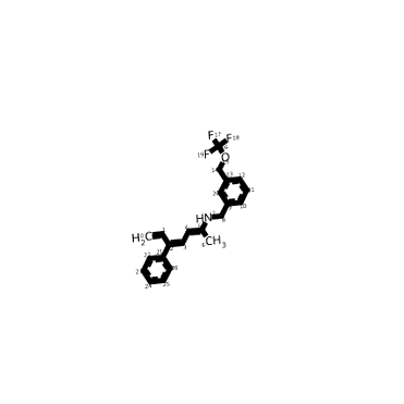 C=C/C(=C\C=C(/C)NCc1cccc(COC(F)(F)F)c1)c1ccccc1